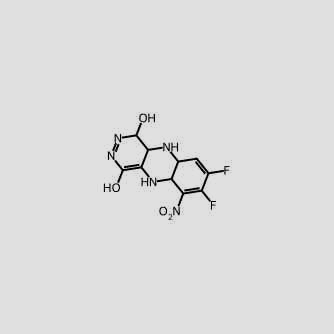 O=[N+]([O-])C1=C(F)C(F)=CC2NC3C(=C(O)N=NC3O)NC12